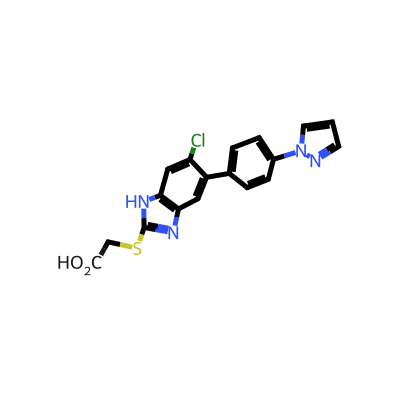 O=C(O)CSc1nc2cc(-c3ccc(-n4cccn4)cc3)c(Cl)cc2[nH]1